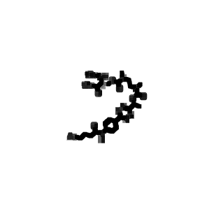 CC(=O)CCCC(=O)Nc1ccc(-c2nnc(C(C)OC(=O)N(C)CCN(C)C(=O)OC[C@@H](NC(C)(C)C)C(=O)C(C)(C)C)nn2)cc1